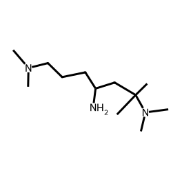 CN(C)CCCC(N)CC(C)(C)N(C)C